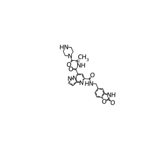 C[C@H](NC(=O)c1cc(C(=O)NCc2ccc3oc(=O)[nH]c3c2)nc2ccnn12)C(=O)N1CCNCC1